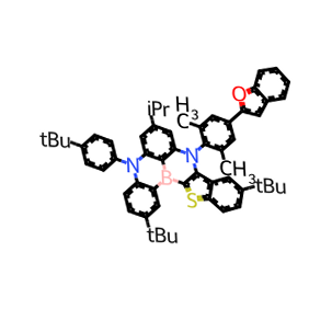 Cc1cc(-c2cc3ccccc3o2)cc(C)c1N1c2cc(C(C)C)cc3c2B(c2cc(C(C)(C)C)ccc2N3c2ccc(C(C)(C)C)cc2)c2sc3ccc(C(C)(C)C)cc3c21